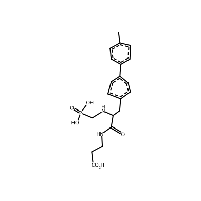 Cc1ccc(-c2ccc(CC(NCP(=O)(O)O)C(=O)NCCC(=O)O)cc2)cc1